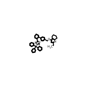 CCc1cc(OCc2ccc(-c3ccccc3-c3nnn(C(c4ccccc4)(c4ccccc4)c4ccccc4)n3)cc2)c2c(n1)CCCC2